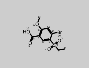 CCS(=O)(=O)c1cc(C(=O)O)c(OC)cc1Br